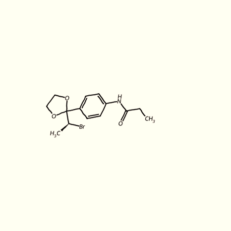 CCC(=O)Nc1ccc(C2([C@H](C)Br)OCCO2)cc1